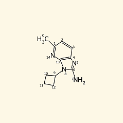 Cc1ccc2nc(N)n(C3CCC3)c2n1